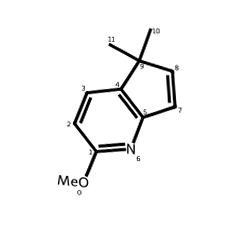 COc1ccc2c(n1)C=CC2(C)C